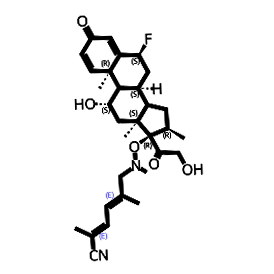 C/C(C#N)=C\C=C(/C)CN(C)O[C@]1(C(=O)CO)[C@H](C)CC2[C@@H]3C[C@H](F)C4=CC(=O)C=C[C@]4(C)C3[C@@H](O)C[C@@]21C